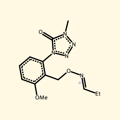 CC/C=N/OCc1c(OC)cccc1-n1nnn(C)c1=O